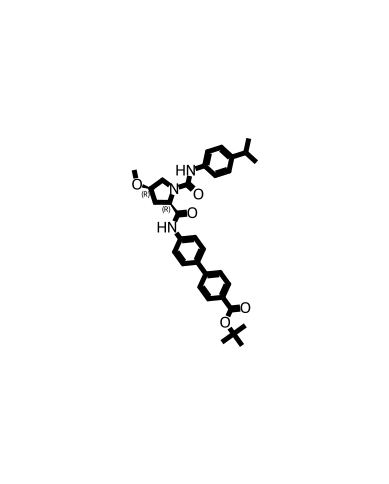 CO[C@@H]1C[C@H](C(=O)Nc2ccc(-c3ccc(C(=O)OC(C)(C)C)cc3)cc2)N(C(=O)Nc2ccc(C(C)C)cc2)C1